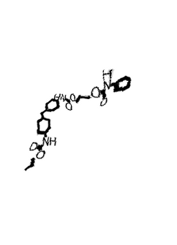 CCCOC(=O)NC1CCC(CC2CCC(NC(=O)OCCCOC(=O)Nc3ccccc3)CC2)CC1